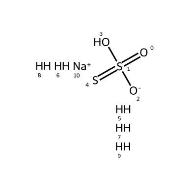 O=S([O-])(O)=S.[HH].[HH].[HH].[HH].[HH].[Na+]